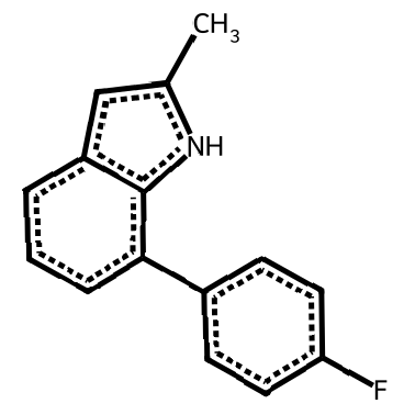 Cc1cc2cccc(-c3ccc(F)cc3)c2[nH]1